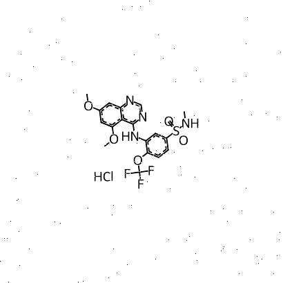 CNS(=O)(=O)c1ccc(OC(F)(F)F)c(Nc2ncnc3cc(OC)cc(OC)c23)c1.Cl